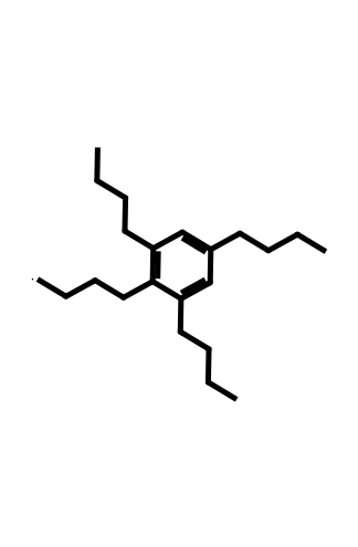 [CH2]CCCc1c(CCCC)cc(CCCC)cc1CCCC